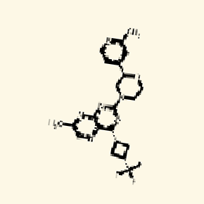 Cc1cc([C@@H]2CN(c3nc4nc(C)cnc4c([C@H]4C[C@@H](C(F)(F)F)C4)n3)CCO2)ccn1